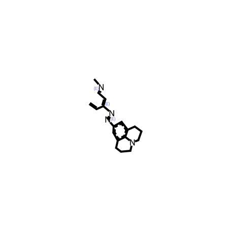 C=CC(=C\C=N\C)/N=N/c1cc2c3c(c1)CCCN3CCC2